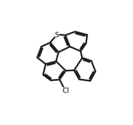 Clc1ccc2ccc3sc4cccc5c4c3c2c1-c1ccccc1-5